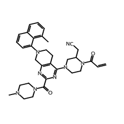 C=CC(=O)N1CCN(c2nc(C(=O)N3CCN(C)CC3)nc3c2CCN(c2cccc4cccc(C)c24)C3)CC1CC#N